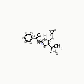 CC(C)C1=C(CC2CC2)N/C(=N\C(=O)c2ccccc2)C1